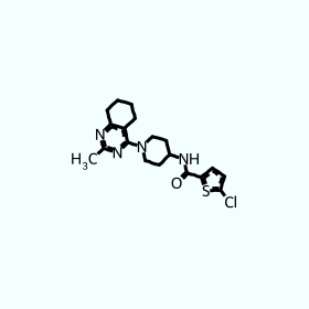 Cc1nc2c(c(N3CCC(NC(=O)c4ccc(Cl)s4)CC3)n1)CCCC2